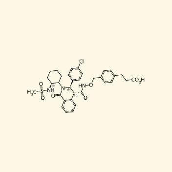 CS(=O)(=O)N[C@H]1CCCCC1N1C(=O)c2ccccc2[C@@H](C(=O)NOCc2ccc(CCC(=O)O)cc2)[C@@H]1c1ccc(Cl)cc1